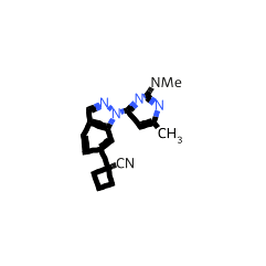 CNc1nc(C)cc(-n2ncc3ccc(C4(C#N)CCC4)cc32)n1